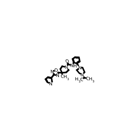 CC(C)N1CCN(c2ccccc2NC(=O)N2CCC(C)(c3nc(-c4cccnc4)no3)CC2)CC1